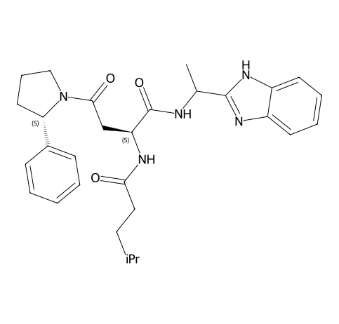 CC(C)CCC(=O)N[C@@H](CC(=O)N1CCC[C@H]1c1ccccc1)C(=O)NC(C)c1nc2ccccc2[nH]1